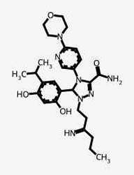 CCCC(=N)CCN1N=C(C(N)=O)N(c2ccc(N3CCOCC3)nc2)C1c1cc(C(C)C)c(O)cc1O